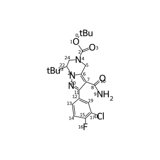 CC(C)(C)OC(=O)N1Cc2c(C(N)=O)c(-c3ccc(F)c(Cl)c3)nn2C(C(C)(C)C)C1